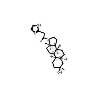 C[C@@]1(O)CC[C@H]2[C@@H](CC[C@@H]3[C@@H]2CC[C@]2(C)[C@@H](C(=O)Cc4ncc[nH]4)CC[C@@H]32)C1